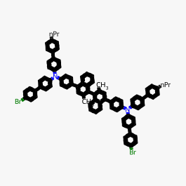 CCCc1ccc(-c2ccc(N(c3ccc(-c4ccc(Br)cc4)cc3)c3ccc(-c4cc(C)c(-c5c(C)cc(-c6ccc(N(c7ccc(-c8ccc(Br)cc8)cc7)c7ccc(-c8ccc(CCC)cc8)cc7)cc6)c6ccccc56)c5ccccc45)cc3)cc2)cc1